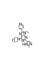 CCn1c(-c2ccncc2)nc2c(N3CCOCC3)nc(-c3cnc(C)[nH]3)nc21